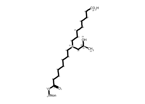 CCCCCCCCCOC(=O)CCCCCCCN(CCCCCCCC(=O)O)C[C@H](C)O